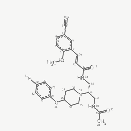 COc1ccc(C#N)cc1/C=C/C(=O)NC[C@H](CNC(C)=O)N1CCC(Oc2ccc(F)cc2)CC1